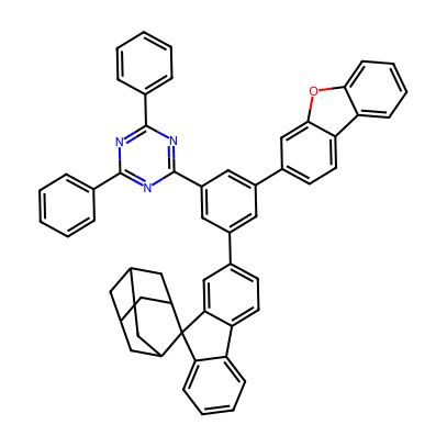 c1ccc(-c2nc(-c3ccccc3)nc(-c3cc(-c4ccc5c(c4)C4(c6ccccc6-5)C5CC6CC(C5)CC4C6)cc(-c4ccc5c(c4)oc4ccccc45)c3)n2)cc1